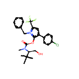 CN(C(=O)Oc1c(-c2ccc(Cl)cc2)cc(C(F)(F)F)n1Cc1ccccc1)C(CO)C(C)(C)C